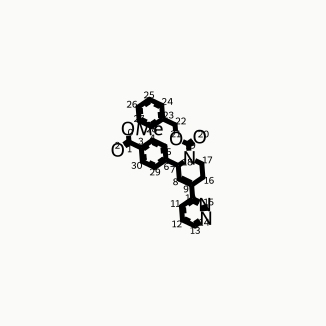 COC(=O)c1ccc(C2C=C(c3cccnn3)CCN2C(=O)OCc2ccccc2)cc1